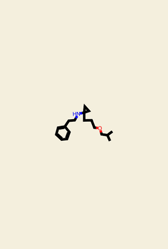 CC(C)COCCCC1(NCCc2ccccc2)CC1